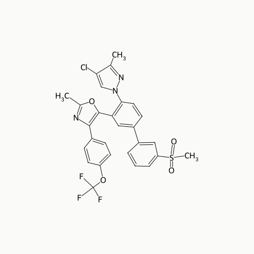 Cc1nc(-c2ccc(OC(F)(F)F)cc2)c(-c2cc(-c3cccc(S(C)(=O)=O)c3)ccc2-n2cc(Cl)c(C)n2)o1